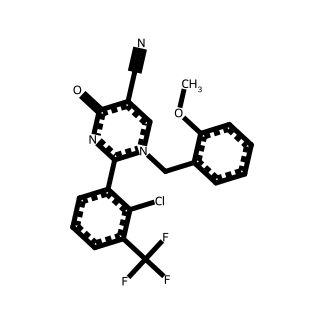 COc1ccccc1Cn1cc(C#N)c(=O)nc1-c1cccc(C(F)(F)F)c1Cl